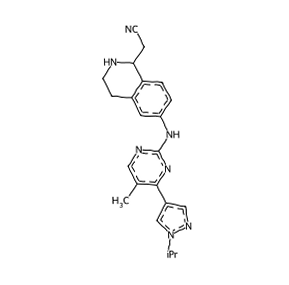 Cc1cnc(Nc2ccc3c(c2)CCNC3CC#N)nc1-c1cnn(C(C)C)c1